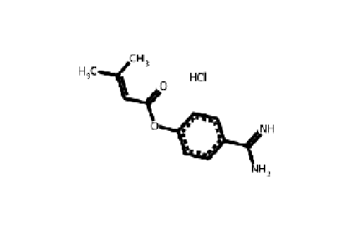 CC(C)=CC(=O)Oc1ccc(C(=N)N)cc1.Cl